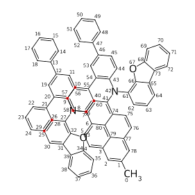 Cc1cc2ccc3c(N(c4ccc(-c5ccccc5)cc4-c4ccccc4)c4cccc5c4oc4ccccc45)cc(N(c4ccc(-c5ccccc5)cc4-c4ccccc4)c4cccc5c4oc4ccccc45)c4ccc(c1)c2c34